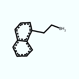 BCCc1cccc2ccccc12